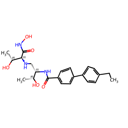 CCc1ccc(-c2ccc(C(=O)N[C@@H](CN[C@H](C(=O)NO)[C@@H](C)O)[C@@H](C)O)cc2)cc1